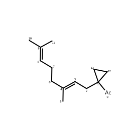 CC(=O)C1(C/C=C(\C)CCC=C(C)C)CC1